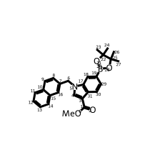 COC(=O)c1cn(Cc2ccc3ccccc3c2)c2cc(B3OC(C)(C)C(C)(C)O3)ccc12